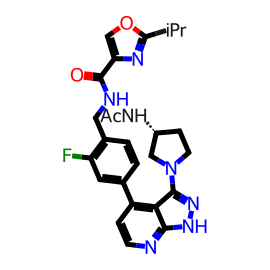 CC(=O)N[C@@H]1CCN(c2n[nH]c3nccc(-c4ccc(CNC(=O)c5coc(C(C)C)n5)c(F)c4)c23)C1